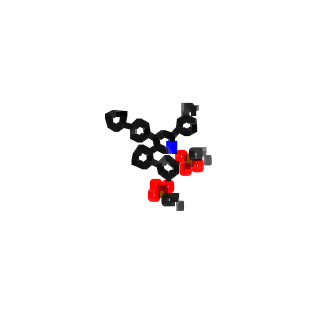 CC(C)c1cccc(-c2cc(-c3ccc(-c4ccccc4)cc3)c(-c3ccccc3-c3cc(OS(=O)(=O)C(F)(F)F)cc(OS(=O)(=O)C(F)(F)F)c3)cn2)c1